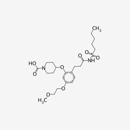 CCCCCS(=O)(=O)NC(=O)CCc1ccc(OCCOC)cc1OC1CCN(C(=O)O)CC1